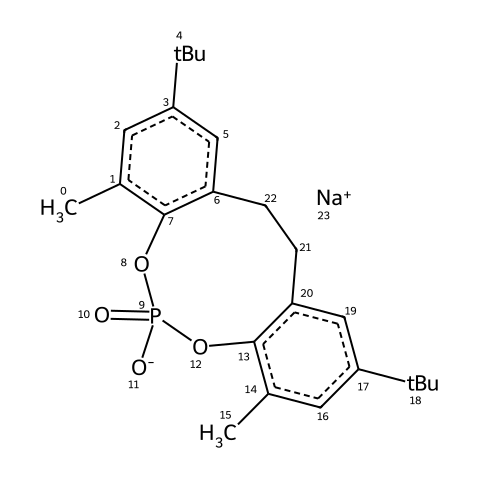 Cc1cc(C(C)(C)C)cc2c1OP(=O)([O-])Oc1c(C)cc(C(C)(C)C)cc1CC2.[Na+]